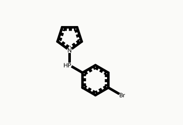 Brc1ccc(Pn2cccc2)cc1